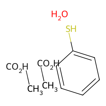 CC(=O)O.CC(=O)O.O.Sc1ccccc1